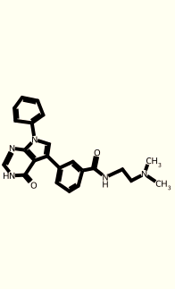 CN(C)CCNC(=O)c1cccc(-c2cn(-c3ccccc3)c3nc[nH]c(=O)c23)c1